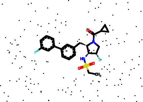 CCS(=O)(=O)N[C@H]1[C@@H](F)CN(C(=O)C2CC2)[C@H]1Cc1cccc(-c2cccc(F)c2)c1